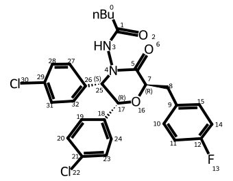 CCCCC(=O)NN1C(=O)[C@@H](Cc2ccc(F)cc2)O[C@H](c2ccc(Cl)cc2)[C@@H]1c1ccc(Cl)cc1